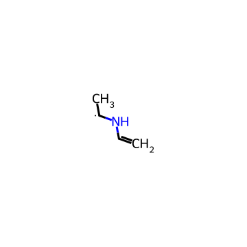 C=CN[CH]C